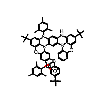 Cc1cc(C)c(N2c3cc4c(cc3B3c5cc6c(cc5Oc5cc(C(C)(C)C)cc2c53)N(c2c(C)cc(C)cc2C)c2cc(C(C)(C)C)cc3c2B6c2ccccc2O3)B2c3ccccc3Oc3cc(C(C)(C)C)cc(c32)N4)c(C)c1